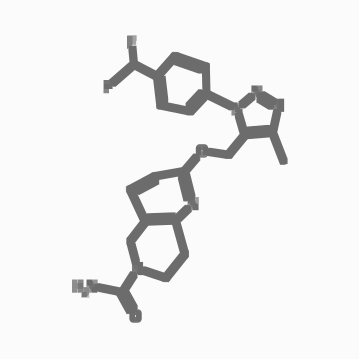 Cc1nnn(-c2ccc(C(F)F)cc2)c1COc1ccc2c(n1)CCN(C(N)=O)C2